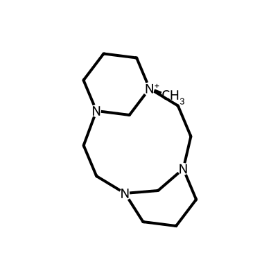 C[N+]12CCCN(CCN3CCCN(CC1)C3)C2